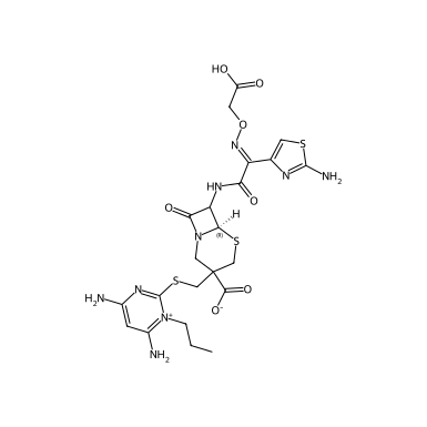 CCC[n+]1c(N)cc(N)nc1SCC1(C(=O)[O-])CS[C@@H]2C(NC(=O)C(=NOCC(=O)O)c3csc(N)n3)C(=O)N2C1